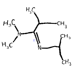 CC(C)/N=C(\C(C)C)N(C)C